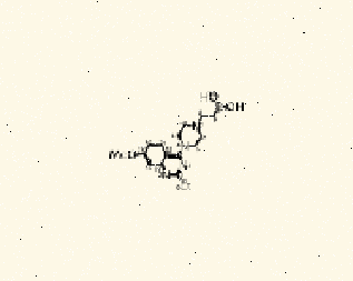 CCc1nc(N2CCN(CCP(O)O)CC2)c2ccc(OC)cc2n1